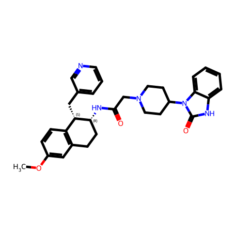 COc1ccc2c(c1)CC[C@@H](NC(=O)CN1CCC(n3c(=O)[nH]c4ccccc43)CC1)[C@H]2Cc1cccnc1